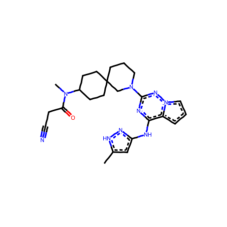 Cc1cc(Nc2nc(N3CCCC4(CCC(N(C)C(=O)CC#N)CC4)C3)nn3cccc23)n[nH]1